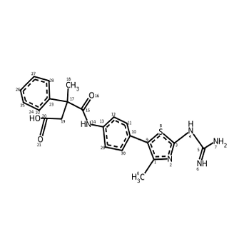 Cc1nc(NC(=N)N)sc1-c1ccc(NC(=O)C(C)(CC(=O)O)c2ccccc2)cc1